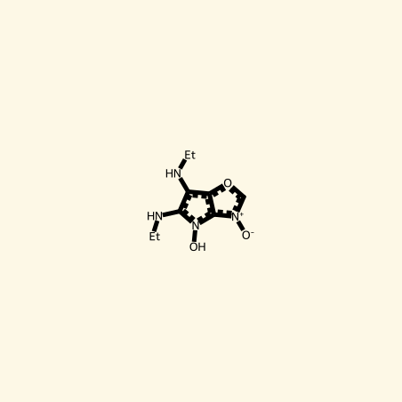 CCNc1c(NCC)n(O)c2c1oc[n+]2[O-]